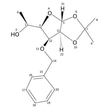 C[C@H](O)[C@H]1O[C@@H]2OC(C)(C)O[C@H]2[C@H]1OCc1ccccc1